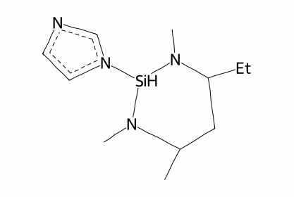 CCC1CC(C)N(C)[SiH](n2ccnc2)N1C